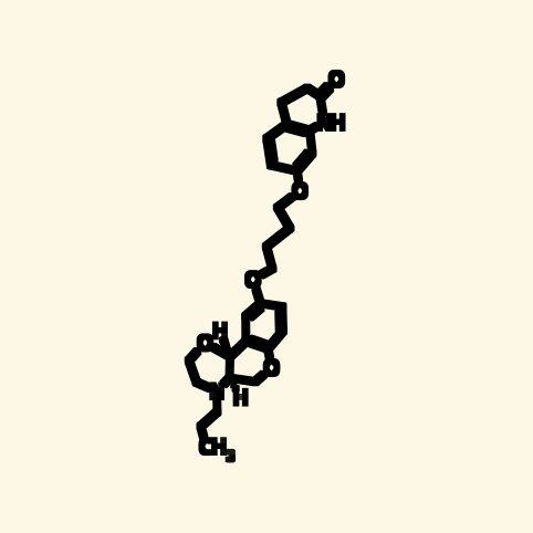 CCCN1CCO[C@@H]2c3cc(OCCCCOc4ccc5c(c4)NC(=O)CC5)ccc3OC[C@H]21